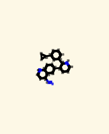 Nc1ccnc2ccc(-c3cccnc3-c3cccc(C4CC4)c3)cc12